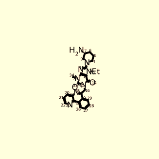 CCn1c(N2CCC[C@@H](N)C2)nc2c1c(=O)n(Cc1nc3cccnc3c3ccccc13)c(=O)n2C